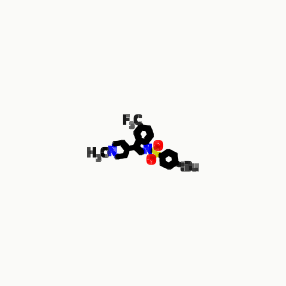 CN1CC=C(c2cn(S(=O)(=O)c3ccc(C(C)(C)C)cc3)c3ccc(C(F)(F)F)cc23)CC1